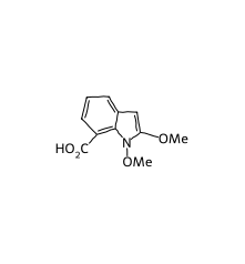 COc1cc2cccc(C(=O)O)c2n1OC